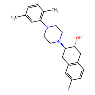 Cc1ccc(C)c(N2CCN([C@@H]3Cc4cc(I)ccc4C[C@H]3O)CC2)c1